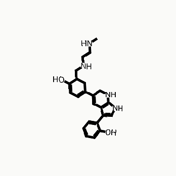 CNCCNCC1CC(C2=Cc3c(-c4ccccc4O)c[nH]c3NC2)=CC=C1O